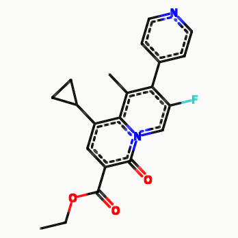 CCOC(=O)c1cc(C2CC2)c2c(C)c(-c3ccncc3)c(F)cn2c1=O